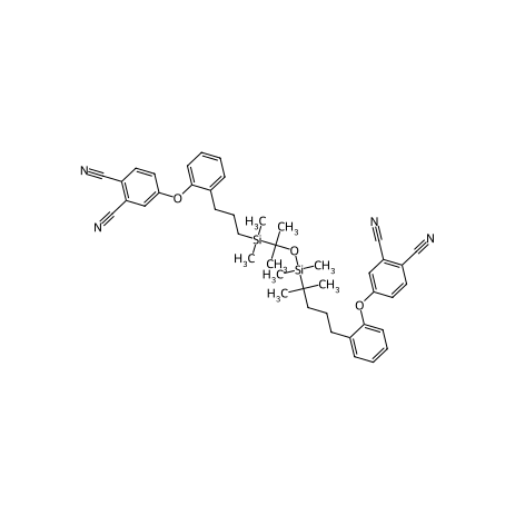 CC(C)(O[Si](C)(C)C(C)(C)CCCc1ccccc1Oc1ccc(C#N)c(C#N)c1)[Si](C)(C)CCCc1ccccc1Oc1ccc(C#N)c(C#N)c1